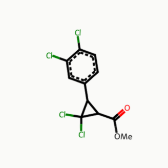 COC(=O)C1C(c2ccc(Cl)c(Cl)c2)C1(Cl)Cl